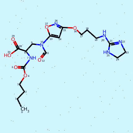 CCCCOC(=O)NC(CN(C=O)c1cc(OCCCNC2=NCCN2)no1)C(=O)O